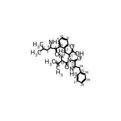 CC(C)CC(N)C(=O)c1ccccc1CC(C(=O)O)N(C(=O)C(N)Cc1[c]cccc1)C(=O)C(N)C(C)C